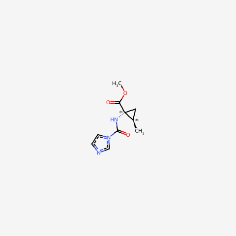 COC(=O)[C@@]1(NC(=O)n2ccnc2)C[C@H]1C